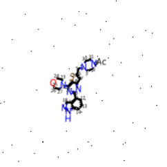 CC(=O)N1CCN(Cc2cc3nc(-c4cccc5[nH]ncc45)nc(N4CCOCC4)c3s2)CC1